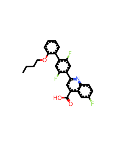 CCCCOc1ccccc1-c1cc(F)c(-c2cc(C(=O)O)c3cc(F)ccc3n2)cc1F